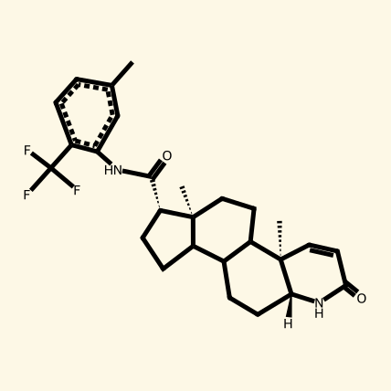 Cc1ccc(C(F)(F)F)c(NC(=O)[C@H]2CCC3C4CC[C@H]5NC(=O)C=C[C@]5(C)C4CC[C@@]32C)c1